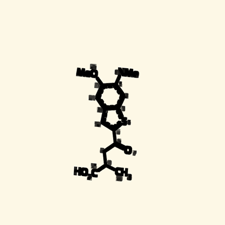 CNc1cc2sc(C(=O)CC(C)C(=O)O)cc2cc1OC